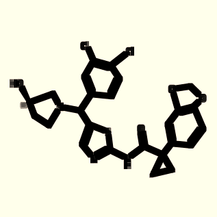 O=C(Nc1ncc(C(c2ccc(Cl)c(Cl)c2)N2CC[C@@H](O)C2)s1)C1(c2ccc3c(c2)OCO3)CC1